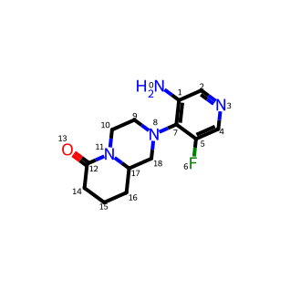 Nc1cncc(F)c1N1CCN2C(=O)CCCC2C1